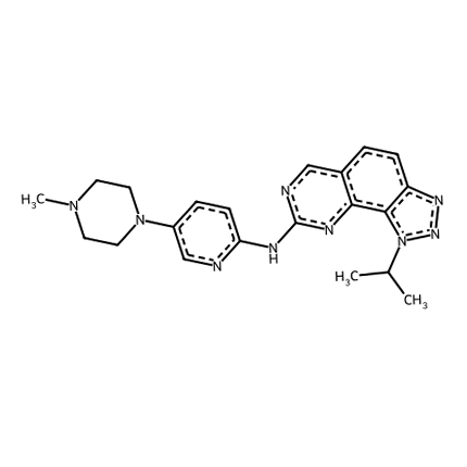 CC(C)n1nnc2ccc3cnc(Nc4ccc(N5CCN(C)CC5)cn4)nc3c21